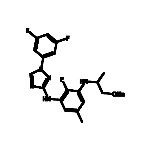 COCC(C)Nc1cc(C)cc(Nc2ncn(-c3cc(F)cc(F)c3)n2)c1F